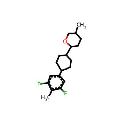 Cc1c(F)cc(C2CCC(C3CCC(C)CO3)CC2)cc1F